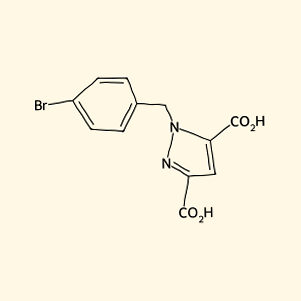 O=C(O)c1cc(C(=O)O)n(Cc2ccc(Br)cc2)n1